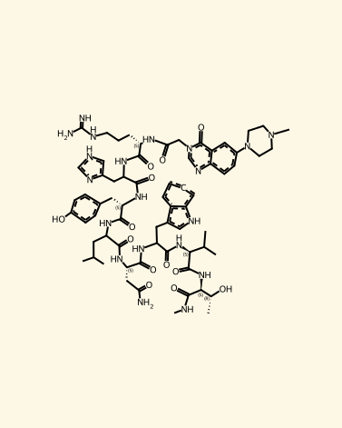 CNC(=O)[C@@H](NC(=O)[C@@H](NC(=O)C(Cc1c[nH]c2ccccc12)NC(=O)[C@H](CC(N)=O)NC(=O)C(CC(C)C)NC(=O)[C@H](Cc1ccc(O)cc1)NC(=O)C(Cc1c[nH]cn1)NC(=O)[C@H](CCCNC(=N)N)NC(=O)Cn1cnc2ccc(N3CCN(C)CC3)cc2c1=O)C(C)C)[C@@H](C)O